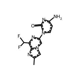 Cc1cn2cc(-n3ccc(N)nc3=O)nc(C(F)F)c2n1